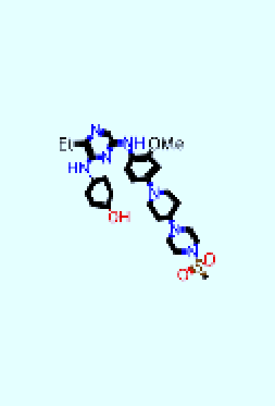 CCc1ncc(Nc2ccc(N3CCC(N4CCN(S(C)(=O)=O)CC4)CC3)cc2OC)nc1N[C@H]1CC[C@H](O)CC1